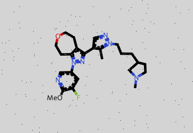 COc1ncc(-n2nc(-c3cnn(CCCC4CCN(C)C4)c3C)c3c2CCOCC3)cc1F